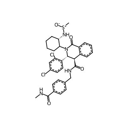 CNC(=O)c1ccc(CNC(=O)[C@@H]2c3ccccc3C(=O)N(C3CCCC[C@@H]3N[S+](C)[O-])[C@H]2c2ccc(Cl)cc2Cl)cc1